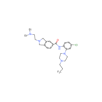 CCN(CC)CCN1Cc2ccc(C(=O)Nc3ccc(Cl)cc3N3CCN(CCC(F)(F)F)CC3)cc2C1